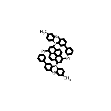 Cc1ccc(N(c2cc(-c3ccccc3)ccc2C(C)(C)C)c2cc(C(C)C)c3ccc4c(N(c5ccc(C)cc5)c5cc(-c6ccccc6)ccc5C(C)(C)C)cc(C(C)C)c5ccc2c3c54)cc1